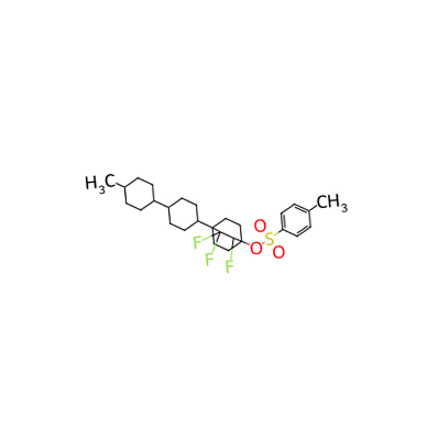 Cc1ccc(S(=O)(=O)OC23CCC(C4CCC(C5CCC(C)CC5)CC4)(CC2)C(F)(F)C3F)cc1